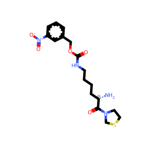 N[C@@H](CCCCNC(=O)OCc1cccc([N+](=O)[O-])c1)C(=O)N1CCSC1